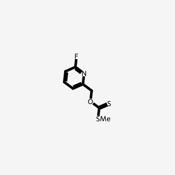 CSC(=S)OCc1cccc(F)n1